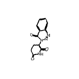 O=C1CCC(n2nnc3ccccc3c2=O)C(=O)N1